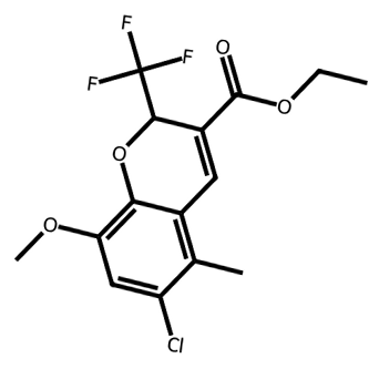 CCOC(=O)C1=Cc2c(C)c(Cl)cc(OC)c2OC1C(F)(F)F